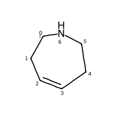 [C]1CC=CCCN1